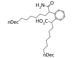 CCCCCCCCCCCCCCCCC(C(N)=O)c1ccccc1C(CCCCCCCCCCCCCCCC)C(=O)O